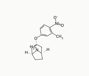 Cc1cc(O[C@@H]2C[C@H]3CC[C@@H](C2)N3C)ccc1[N+](=O)[O-]